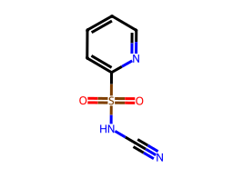 N#CNS(=O)(=O)c1ccccn1